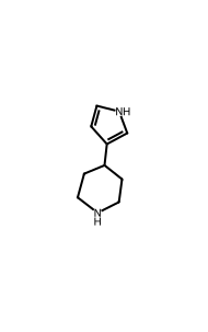 c1cc(C2CCNCC2)c[nH]1